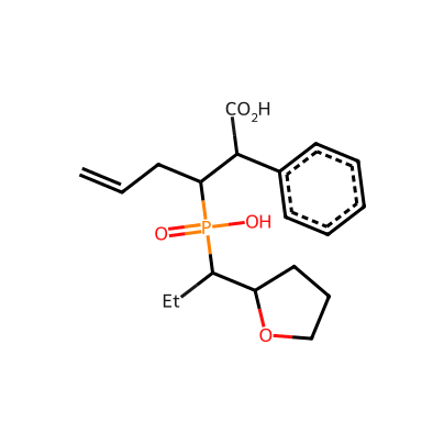 C=CCC(C(C(=O)O)c1ccccc1)P(=O)(O)C(CC)C1CCCO1